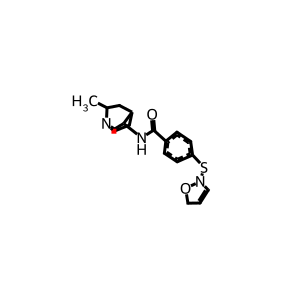 CC1CC2CCN1CC2NC(=O)c1ccc(SN2C=CCO2)cc1